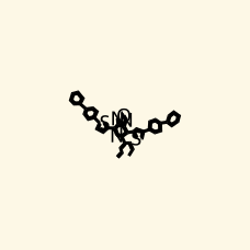 C=C/C=C(\C=C/C)c1nc(-c2ccc(-c3ccc(-c4ccccc4)cc3)s2)c2nonc2c1-c1cc(-c2ccc(-c3ccccc3)cc2)cs1